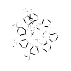 O=[N+]([O-])c1ccc(ON2P(Oc3ccc([N+](=O)[O-])cc3)N(Oc3ccccc3)P(Oc3ccccc3)N=P(Oc3ccccc3)(Oc3ccccc3)N(Oc3ccc([N+](=O)[O-])cc3)P2Oc2ccc([N+](=O)[O-])cc2)cc1